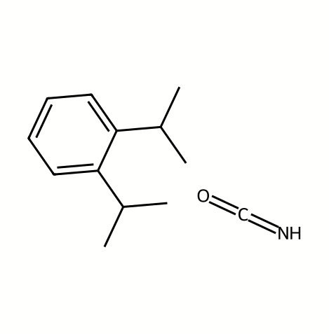 CC(C)c1ccccc1C(C)C.N=C=O